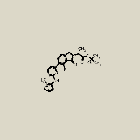 C[C@H](C(=O)OC(C)(C)C)N1Cc2ccc(-c3ccnc(Nc4ccnn4C)n3)c(F)c2C1=O